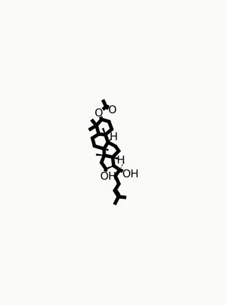 CC(=O)OC1CC[C@@]2(C)C(CC[C@]3(C)[C@@H]2CC[C@@H]2[C@@H]([C@@](C)(O)CCC=C(C)C)C(O)C[C@@]23C)C1(C)C